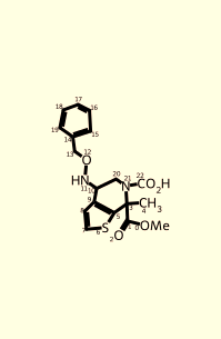 COC(=O)C1(C)c2sccc2C(NOCc2ccccc2)CN1C(=O)O